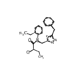 CCc1ccccc1N(Cc1nnc(Cc2ccccc2)s1)C(=O)C(Cl)CC